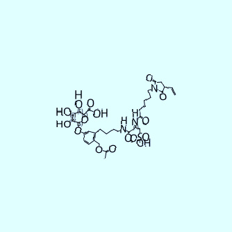 C=CC1CC(=O)N(CCCCCC(=O)N[C@@H](CS(=O)(=O)O)C(=O)NCCCCc2cc(O[C@@H]3O[C@H](C(=O)O)[C@@H](O)[C@H](O)[C@H]3O)ccc2COC(C)=O)C1=O